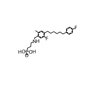 Cc1cc(CCCCCCc2ccc(F)cc2)c(F)cc1CNCCCP(=O)(O)O